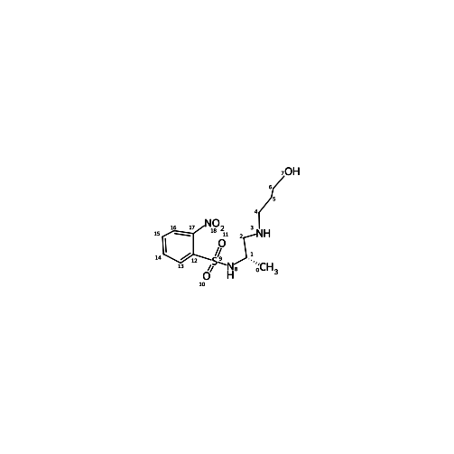 C[C@@H](CNCCCO)NS(=O)(=O)c1ccccc1[N+](=O)[O-]